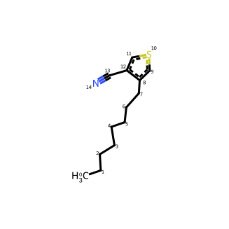 CCCCCCCCc1cscc1C#N